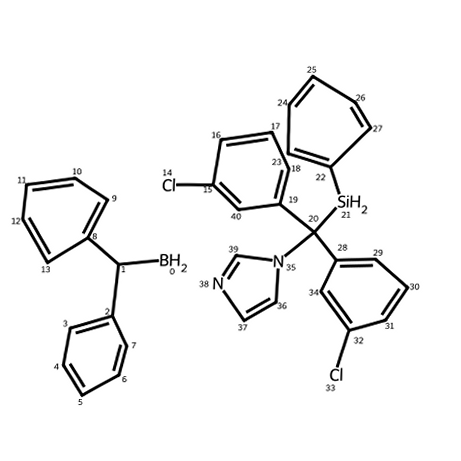 BC(c1ccccc1)c1ccccc1.Clc1cccc(C([SiH2]c2ccccc2)(c2cccc(Cl)c2)n2ccnc2)c1